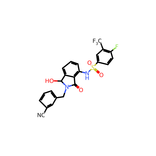 N#Cc1cccc(CN2C(=O)c3c(NS(=O)(=O)c4ccc(F)c(C(F)(F)F)c4)cccc3C2O)c1